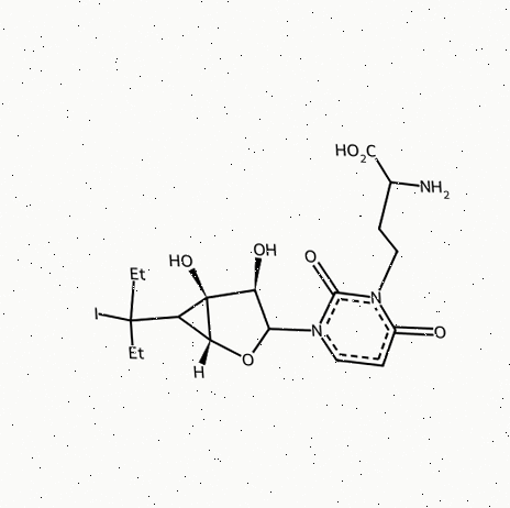 CCC(I)(CC)C1[C@H]2OC(n3ccc(=O)n(CCC(N)C(=O)O)c3=O)[C@H](O)[C@@]12O